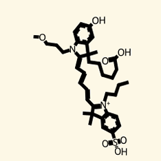 CCCC[N+]1=C(/C=C/C=C/C=C2/N(CCCOC)c3ccc(O)cc3C2(C)CCCCCC(=O)O)C(C)(C)c2cc(S(=O)(=O)O)ccc21